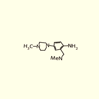 CNCc1cc(N2CCN(C)CC2)ccc1N